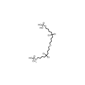 CCC(CC)(CCCCOCCCCC(CC)(CC)CCCCOP(=O)(O)O)CCCCOP(C)(=O)O